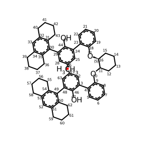 Cc1cc(-c2ccccc2OC2CCCC[C@@H]2Oc2ccccc2-c2cc(C)cc(-c3c4c(cc5c3CCCC5)CCCC4)c2O)c(O)c(-c2c3c(cc4c2CCCC4)CCCC3)c1